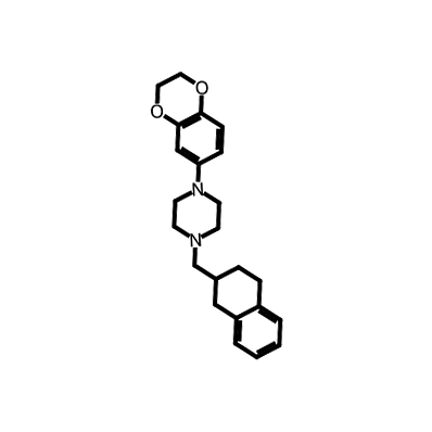 c1ccc2c(c1)CCC(CN1CCN(c3ccc4c(c3)OCCO4)CC1)C2